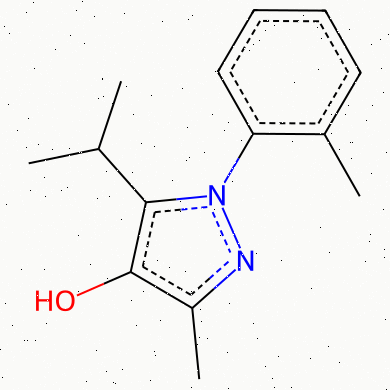 Cc1ccccc1-n1nc(C)c(O)c1C(C)C